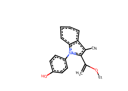 C=C(OCC)c1c(C#N)c2ccccc2n1-c1ccc(O)cc1